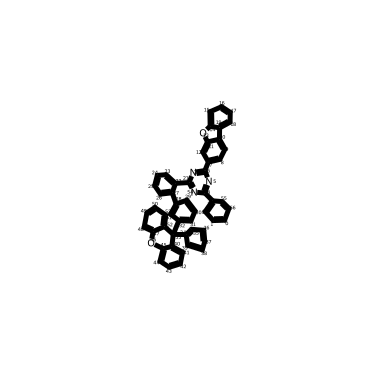 c1ccc(-c2nc(-c3ccc4c(c3)oc3ccccc34)nc(-c3ccccc3-c3cccc(C4(c5ccccc5)c5ccccc5Oc5ccccc54)c3)n2)cc1